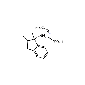 CC1Cc2ccccc2C1(C)N.O=C(O)/C=C/C(=O)O